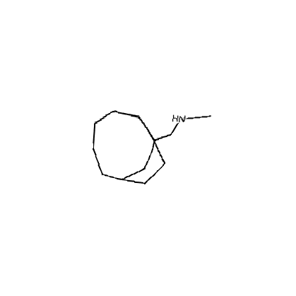 CNCC12CCCCCC(CC1)C2